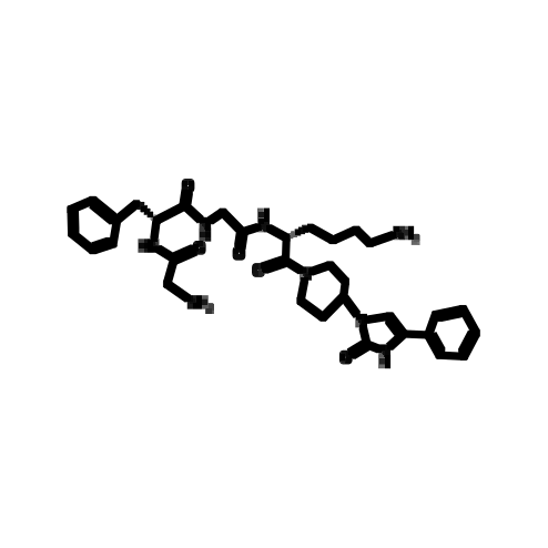 NCCCC[C@@H](NC(=O)CNC(=O)[C@@H](Cc1ccccc1)NC(=O)CN)C(=O)N1CCC(n2cc(-c3ccccc3)[nH]c2=O)CC1